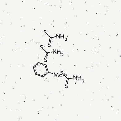 NC(=S)[S-].NC(=S)[S-].NC(=S)[S-].[Mo+3][c]1ccccc1